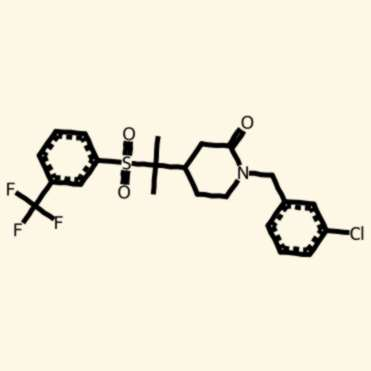 CC(C)(C1CCN(Cc2cccc(Cl)c2)C(=O)C1)S(=O)(=O)c1cccc(C(F)(F)F)c1